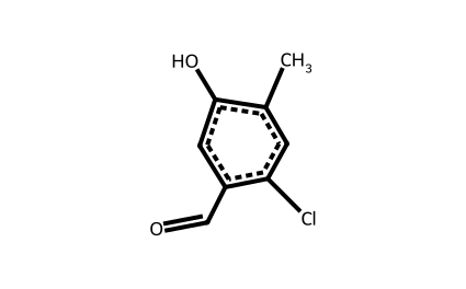 Cc1cc(Cl)c(C=O)cc1O